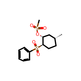 C[C@@H]1CC[C@@H](S(=O)(=O)c2ccccc2)[C@H](OS(C)(=O)=O)C1